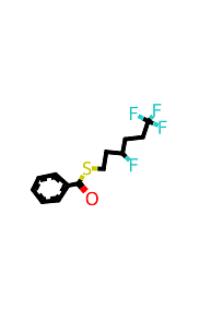 O=C(SCCC(F)CCC(F)(F)F)c1ccccc1